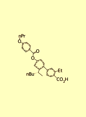 CCCC[C@@H](C)c1cc(OC(=O)c2ccc(OCCC)cc2)ccc1-c1ccc(C(=O)O)c(CC)c1